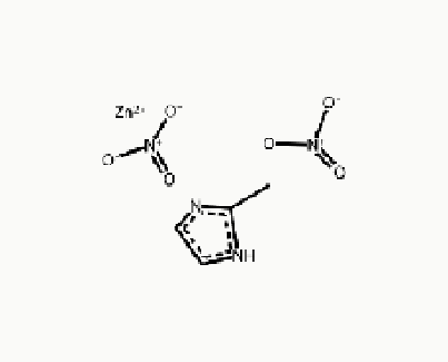 Cc1ncc[nH]1.O=[N+]([O-])[O-].O=[N+]([O-])[O-].[Zn+2]